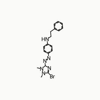 CN1C(Br)=NC(N=Nc2ccc(NCCc3ccccc3)cc2)N1C